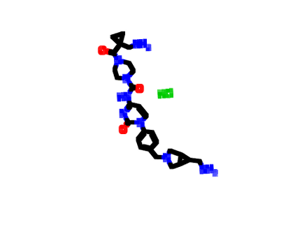 Cl.NCC1C2CN(Cc3ccc(-n4ccc(NC(=O)N5CCN(C(=O)C6(CN)CC6)CC5)nc4=O)cc3)CC12